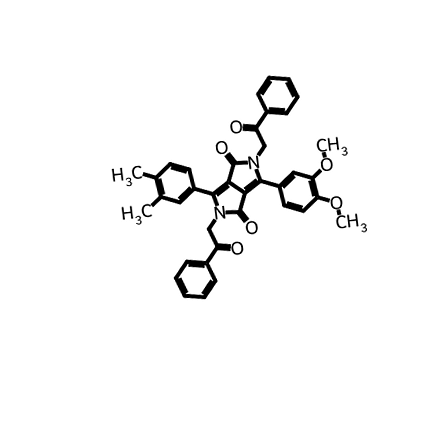 COc1ccc(C2=C3C(=O)N(CC(=O)c4ccccc4)C(c4ccc(C)c(C)c4)=C3C(=O)N2CC(=O)c2ccccc2)cc1OC